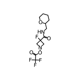 O=C(ON1CC(F)(C(=O)NCC2CCCCO2)C1)C(F)(F)F